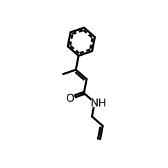 C=CCNC(=O)C=C(C)c1ccccc1